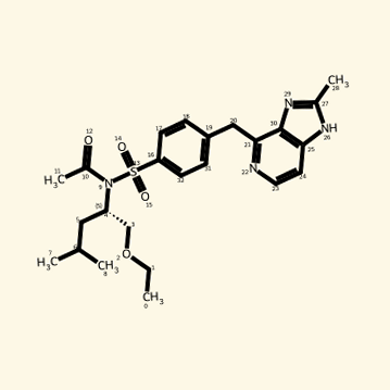 CCOC[C@H](CC(C)C)N(C(C)=O)S(=O)(=O)c1ccc(Cc2nccc3[nH]c(C)nc23)cc1